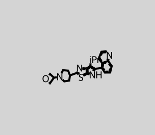 CC(C)c1c(-c2cccc3ncccc23)[nH]c2sc(C3CCN(C4COC4)CC3)nc12